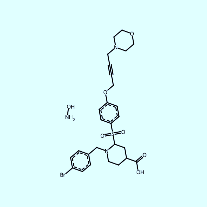 NO.O=C(O)C1CCN(Cc2ccc(Br)cc2)C(S(=O)(=O)c2ccc(OCC#CCN3CCOCC3)cc2)C1